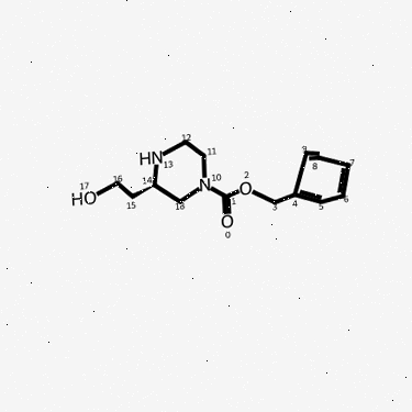 O=C(OCc1ccccc1)N1CCN[C@H](CCO)C1